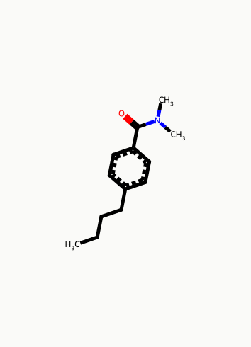 CCCCc1ccc(C(=O)N(C)C)cc1